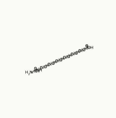 NCCNC(=O)NCCOCCOCCOCCOCCOCCOCCOCCOCCOCCOCCOCCOCCC(=O)O